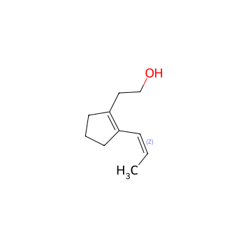 C/C=C\C1=C(CCO)CCC1